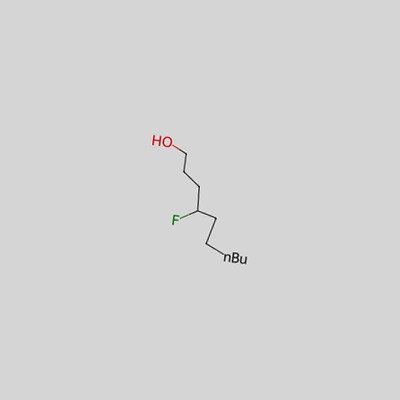 CCCCCCC(F)CCCO